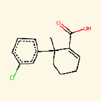 CC1(c2cccc(Cl)c2)CCCC=C1C(=O)O